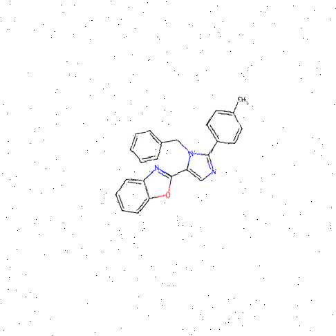 Cc1ccc(-c2ncc(-c3nc4ccccc4o3)n2Cc2ccccc2)cc1